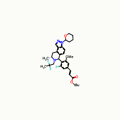 COc1cc(/C=C/C(=O)OC(C)(C)C)cc(F)c1C1c2ccc3c(cnn3C3CCCCO3)c2C[C@@H](C)N1CC(C)(F)F